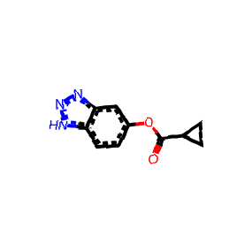 O=C(Oc1ccc2[nH]nnc2c1)C1CC1